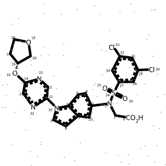 O=C(O)CN(c1ccc2c(ccn2-c2cnc(O[C@@H]3CCOC3)cn2)c1)S(=O)(=O)c1cc(Cl)cc(Cl)c1